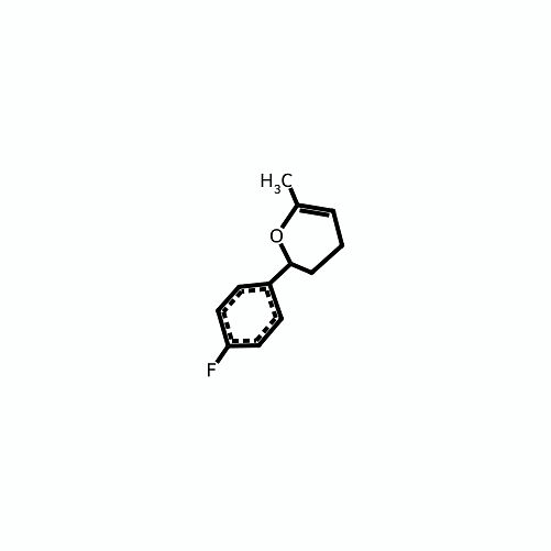 CC1=CCCC(c2ccc(F)cc2)O1